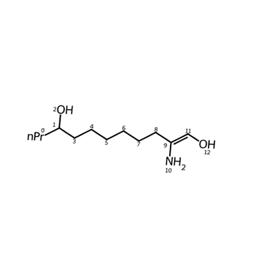 CCCC(O)CCCCCCC(N)=CO